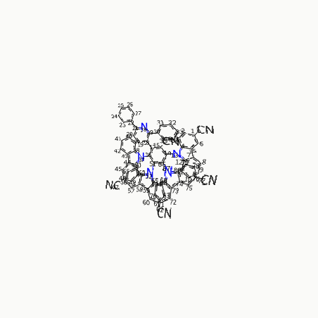 N#Cc1ccc2c(c1)c1ccccc1n2-c1c(C#N)c(-c2ccc(-c3ccccc3)nc2-c2ccccc2)c(-n2c3ccccc3c3cc(C#N)ccc32)c(-n2c3ccccc3c3cc(C#N)ccc32)c1-n1c2ccccc2c2cc(C#N)ccc21